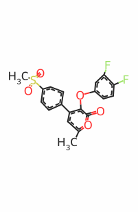 Cc1cc(-c2ccc(S(C)(=O)=O)cc2)c(Oc2ccc(F)c(F)c2)c(=O)o1